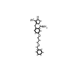 CC(C)C1=C(Cc2ccc(OCCCOCc3ccccc3)cc2CN)CCN1